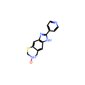 [O-][NH+]1CSc2cc3nc(-c4ccncc4)[nH]c3cc2C1